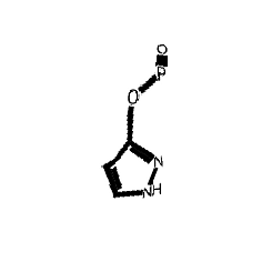 O=POc1cc[nH]n1